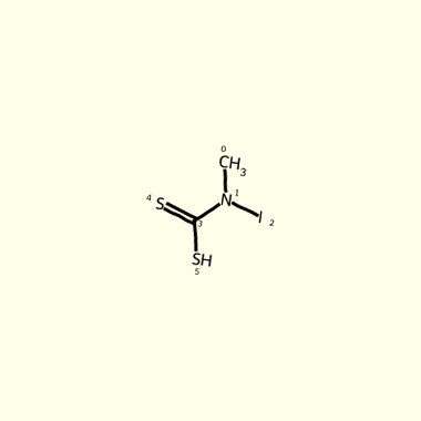 CN(I)C(=S)S